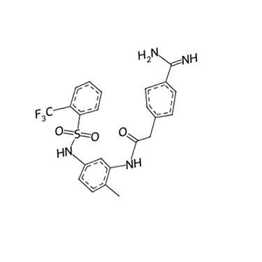 Cc1ccc(NS(=O)(=O)c2ccccc2C(F)(F)F)cc1NC(=O)Cc1ccc(C(=N)N)cc1